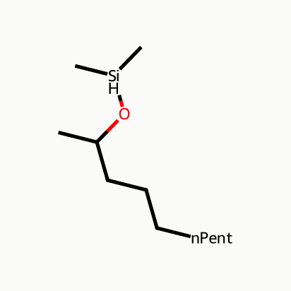 CCCCCCCCC(C)O[SiH](C)C